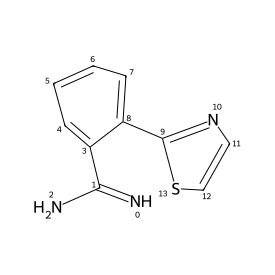 N=C(N)c1ccccc1-c1nccs1